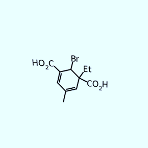 CCC1(C(=O)O)C=C(C)C=C(C(=O)O)C1Br